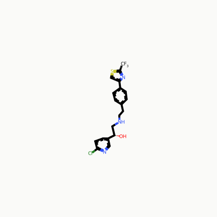 O[C@@H](CNCCc1ccc(-c2csc(C(F)(F)F)n2)cc1)c1ccc(Cl)nc1